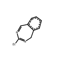 CCC1=NCc2ccccc2C=N1